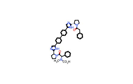 CN(C(=O)O)[C@@H](C(=O)N1CCC[C@H]1c1ncc(-c2ccc(-c3ccc(-c4cnc([C@@H]5CCCN5C(=O)Cc5ccccc5)[nH]4)cc3)cc2)[nH]1)c1ccccc1